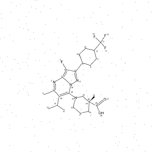 Cc1nc2c(F)c(C3CCC(C(F)(F)F)CC3)nn2c(N2CCC[C@@](C)(C(=O)O)C2)c1C(C)C